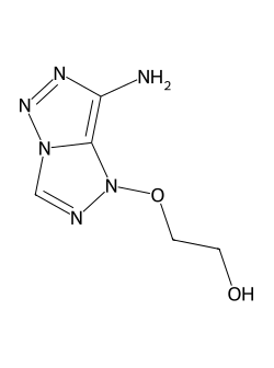 Nc1nnn2cnn(OCCO)c12